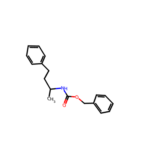 CC(CCc1ccccc1)NC(=O)OCc1ccccc1